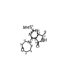 CSc1nc2c(c(N3CCCOCC3)n1)C(=O)NC2C